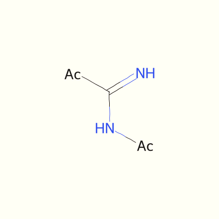 CC(=O)NC(=N)C(C)=O